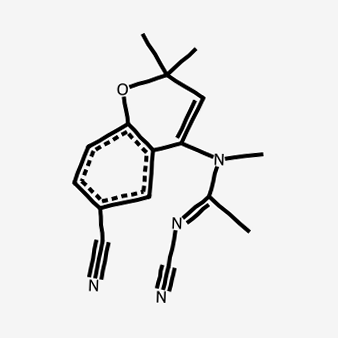 CC(=NC#N)N(C)C1=CC(C)(C)Oc2ccc(C#N)cc21